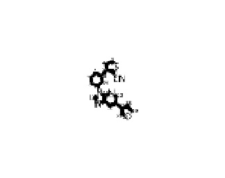 N#Cc1sccc1-c1cccc(-n2cnc3cc(-c4ccoc4)cnc32)c1